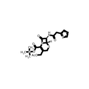 CC(=O)OCC1=C(C(=O)O[Si](C)(C)C)N2C(=O)[C@@H](NC(=O)Cc3cccs3)[C@@H]2SC1